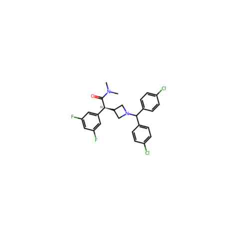 CN(C)C(=O)[C@H](c1cc(F)cc(F)c1)C1CN(C(c2ccc(Cl)cc2)c2ccc(Cl)cc2)C1